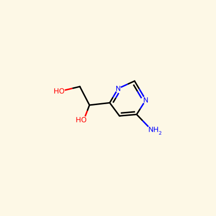 Nc1cc(C(O)CO)ncn1